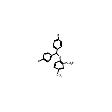 O=C(O)c1cc([N+](=O)[O-])ccc1OC(c1ccc(F)cc1)c1ccc(F)cc1